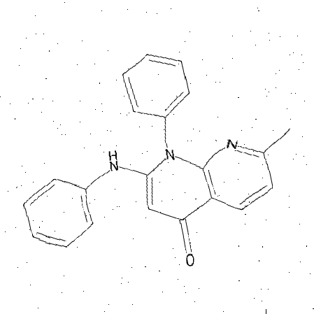 Cc1ccc2c(=O)cc(Nc3ccccc3)n(-c3ccccc3)c2n1